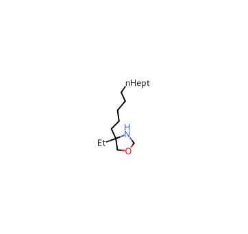 CCCCCCCCCCCCC1(CC)COCN1